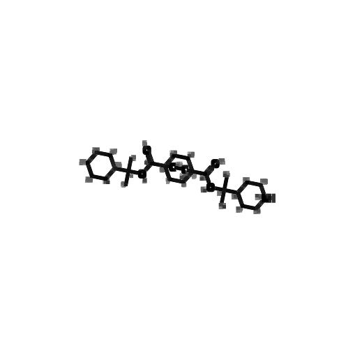 CC(C)(OC(=O)C12CCC(C(=O)OC(C)(C)C3CCNCC3)(CC1)CC2)C1CCCCC1